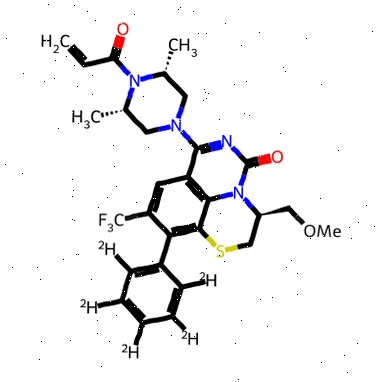 [2H]c1c([2H])c([2H])c(-c2c(C(F)(F)F)cc3c(N4C[C@@H](C)N(C(=O)C=C)[C@@H](C)C4)nc(=O)n4c3c2SC[C@@H]4COC)c([2H])c1[2H]